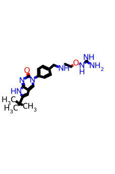 CC(C)(C)c1cc2cn(-c3ccc(CNCCONC(=N)N)cc3)c(=O)nc2[nH]1